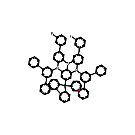 Fc1cccc(-c2ccc3c(c2)B2c4cc(-c5cccc(F)c5)ccc4N(c4cc(-c5ccccc5)cc(-c5ccccc5)c4)c4cc(C5(c6ccccc6)c6ccccc6-c6ccccc65)cc(c42)N3c2cc(-c3ccccc3)cc(-c3ccccc3)c2)c1